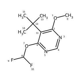 COc1ncnc(OC(F)F)c1C(C)(C)C